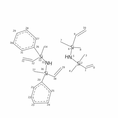 C=C[Si](C)(C)N[Si](C)(C)C=C.C=C[Si](C)(N[Si](C)(C=C)c1ccccc1)c1ccccc1